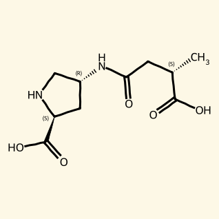 C[C@@H](CC(=O)N[C@H]1CN[C@H](C(=O)O)C1)C(=O)O